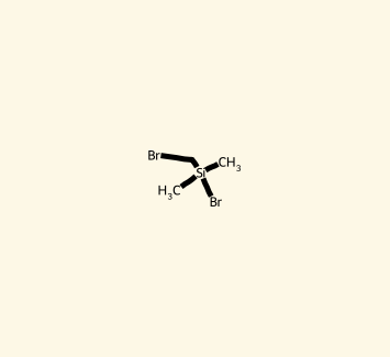 C[Si](C)(Br)CBr